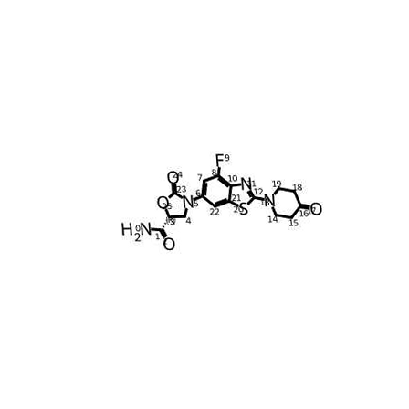 NC(=O)[C@H]1CN(c2cc(F)c3nc(N4CCC(=O)CC4)sc3c2)C(=O)O1